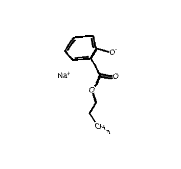 CCCOC(=O)c1ccccc1[O-].[Na+]